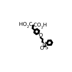 O=C(O)C(=Cc1ccc(OCCCn2c(=O)sc3ccccc32)cc1)C(=O)O